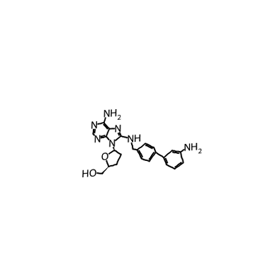 Nc1cccc(-c2ccc(CNc3nc4c(N)ncnc4n3[C@H]3CC[C@@H](CO)O3)cc2)c1